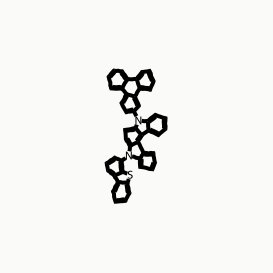 c1ccc2c(c1)sc1c(-n3c4ccccc4c4c5c6ccccc6n(-c6ccc7c8ccccc8c8ccccc8c7c6)c5ccc43)cccc12